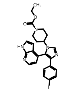 CCOC(=O)N1CCC(n2cnc(-c3ccc(F)cc3)c2-c2ccnc3[nH]ccc23)CC1